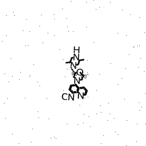 CC1CN(C[C@@H]2CN(c3ccc(C#N)c4ncccc34)C[C@@H](C)O2)C(C)CN1